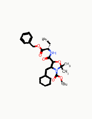 CC(C)C[C@H](NC(=O)C1OC(C)(C)N(C(=O)OC(C)(C)C)C1CC1CCCCC1)C(=O)OCc1ccccc1